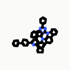 c1ccc(-c2ccc(-c3cc(-c4ccccc4-n4c5ccccc5c5ccc6c7ccccc7n(-c7nc(-c8ccccc8)nc(-c8ccccc8)n7)c6c54)cc(-c4ccccc4)n3)cc2)cc1